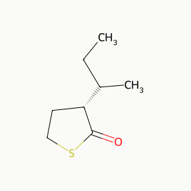 CCC(C)[C@H]1CCSC1=O